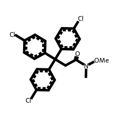 CON(C)C(=O)CC(c1ccc(Cl)cc1)(c1ccc(Cl)cc1)c1ccc(Cl)cc1